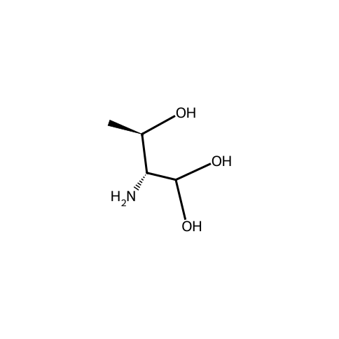 C[C@@H](O)[C@@H](N)C(O)O